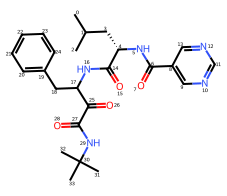 CC(C)C[C@H](NC(=O)c1cncnc1)C(=O)NC(Cc1ccccc1)C(=O)C(=O)NC(C)(C)C